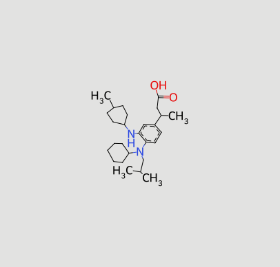 CC(C)CN(c1ccc(C(C)CC(=O)O)cc1NC1CCC(C)CC1)C1CCCCC1